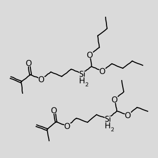 C=C(C)C(=O)OCCC[SiH2]C(OCC)OCC.C=C(C)C(=O)OCCC[SiH2]C(OCCCC)OCCCC